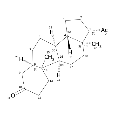 CC(=O)[C@H]1CC[C@H]2[C@@H]3CC[C@@H]4CC(=O)CCC4(C)[C@@H]3CC[C@]12C